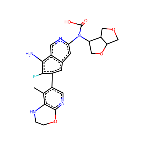 Cc1c(-c2cc3cc(N(C(=O)O)C4COC5COCC54)ncc3c(N)c2F)cnc2c1NCCO2